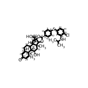 CC(C)Nc1cc(Sc2ccc([C@@H]3O[C@@H]4C[C@H]5[C@@H]6CCC7=CC(=O)C=C[C@]7(C)[C@@]6(F)[C@@H](O)C[C@]5(C)[C@]4(C(=O)CO)O3)cc2)ccc1Cl